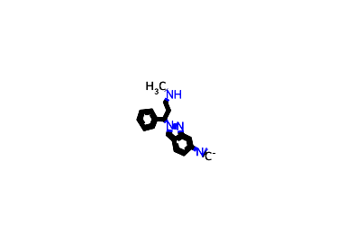 [C-]#[N+]c1ccc2cn(C(CCNC)c3ccccc3)nc2c1